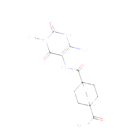 CCCn1c(=O)[nH]c(N)c(NC(=O)C23CCC(C(=O)OC)(CC2)CC3)c1=O